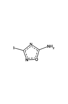 Nc1nc(I)no1